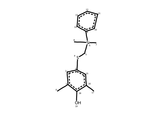 Cc1cc(SC[Si](C)(C)c2ccccc2)cc(C)c1O